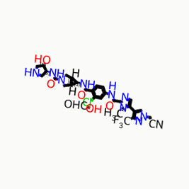 Cn1c(-c2cn(CC#N)nc2C(F)(F)F)cnc1C(=O)Nc1ccc(C(=O)N[C@H]2[C@@H]3CN(C(=O)N[C@H]4CNC[C@@H]4O)C[C@@H]32)c(Cl)c1.O=CO